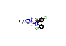 COc1c(C(=O)NN2CCN(C)CC2)nn(-c2ccccc2Cl)c1-c1ccc(Cl)cc1